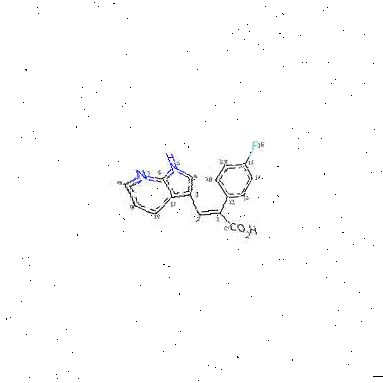 O=C(O)C(=Cc1c[nH]c2ncccc12)c1ccc(F)cc1